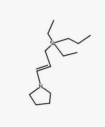 CCC[Si](CC)(CC)CC=CN1CCCC1